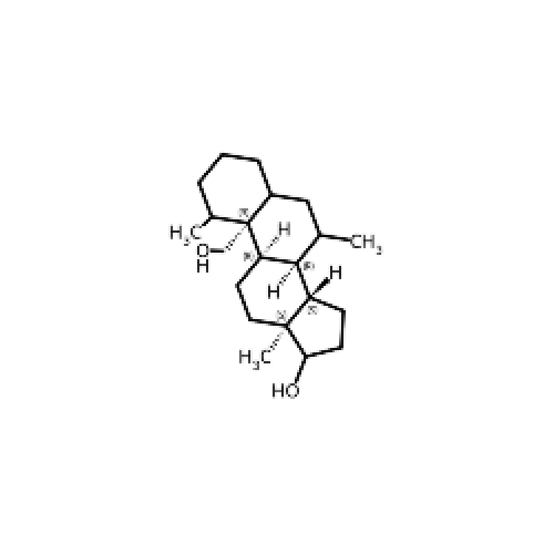 CC1CC2CCCC(C)[C@]2(CO)[C@@H]2CC[C@]3(C)C(O)CC[C@H]3[C@H]12